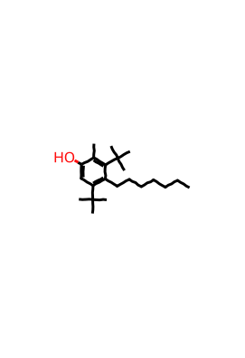 CCCCCCCc1c(C(C)(C)C)cc(O)c(C)c1C(C)(C)C